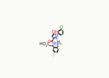 Cc1ccc(F)cc1C(CC(=O)O)NC(=O)c1cc(O)n(-c2cccc(Cl)c2)n1